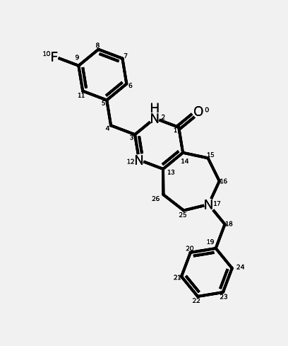 O=c1[nH]c(Cc2cccc(F)c2)nc2c1CCN(Cc1ccccc1)CC2